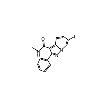 CNC(=O)c1c(-c2ccccc2)nn2cc(I)ccc12